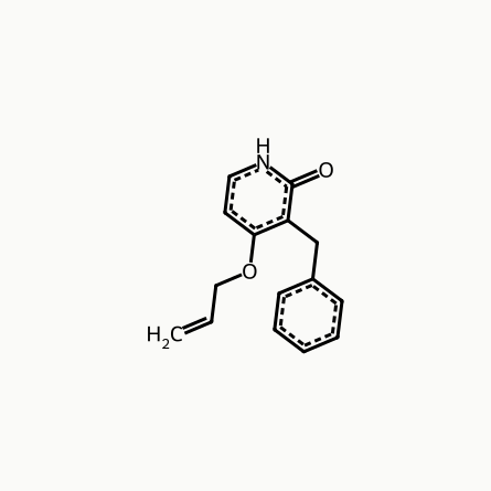 C=CCOc1cc[nH]c(=O)c1Cc1ccccc1